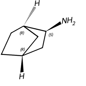 N[C@H]1C[C@@H]2CC[C@@H]1C2